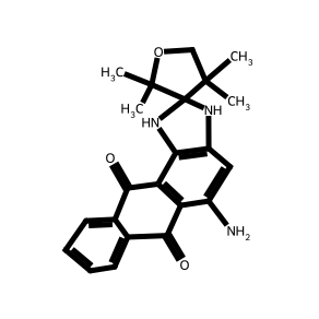 CC1(C)COC(C)(C)C12Nc1cc(N)c3c(c1N2)C(=O)c1ccccc1C3=O